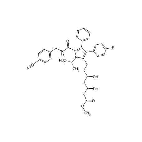 COC(=O)C[C@H](O)C[C@H](O)CCc1c(-c2ccc(F)cc2)c(-c2ccccc2)c(C(=O)NCc2ccc(C#N)cc2)n1C(C)C